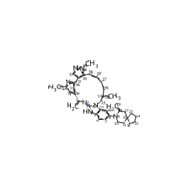 C=C1/N=C2\Nc3ccc(N4CCC5(CCCC5)CC4=C)cc3N2C[C@H](C)CCCCc2c(cnn2C)-c2cc1cc(C)n2